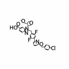 COC[C@H]1COC[C@H]1n1c(Cc2cc(F)c(-c3cccc(OCc4ccc(Cl)cc4)n3)cc2F)nc2ccc(C(=O)O)cc21